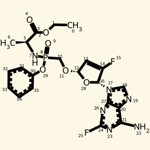 CCOC(=O)[C@H](C)NP(=O)(CO[C@@H]1C=C(F)[C@H](n2cnc3c(N)nc(F)nc32)O1)Oc1ccccc1